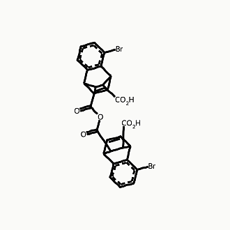 O=C(OC(=O)C1C2C=CC(c3c(Br)cccc32)C1C(=O)O)C1C2C=CC(c3c(Br)cccc32)C1C(=O)O